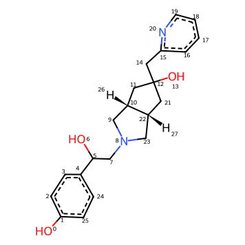 Oc1ccc(C(O)CN2C[C@@H]3CC(O)(Cc4ccccn4)C[C@@H]3C2)cc1